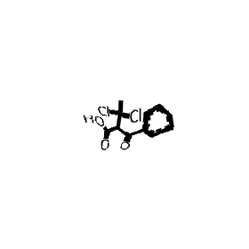 CC(Cl)(Cl)C(C(=O)O)C(=O)c1ccccc1